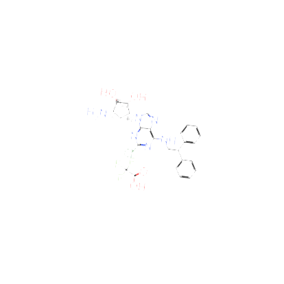 N[C@H]1C[C@@H](n2cnc3c(NCC(c4ccccc4)c4ccccc4)nc(Cl)nc32)[C@H](O)[C@@H]1O.O=C(O)C(F)(F)F